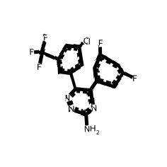 Nc1nnc(-c2cc(Cl)cc(C(F)(F)F)c2)c(-c2cc(F)cc(F)c2)n1